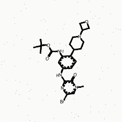 Cn1cc(Br)nc(Nc2ccc(C3CCN(C4COC4)CC3)c(NC(=O)OC(C)(C)C)c2)c1=O